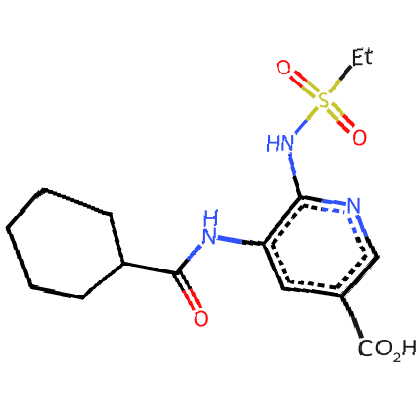 CCS(=O)(=O)Nc1ncc(C(=O)O)cc1NC(=O)C1CCCCC1